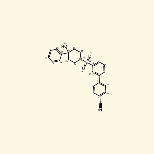 N#Cc1ccc(-c2cccc(S(=O)(=O)N3CCC(O)(c4ccccc4)CC3)n2)cc1